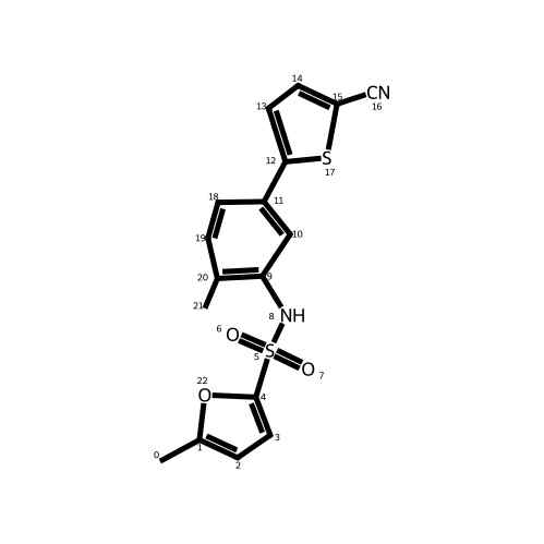 Cc1ccc(S(=O)(=O)Nc2cc(-c3ccc(C#N)s3)ccc2C)o1